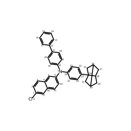 Clc1ccc2cc(N(c3ccc(-c4ccccc4)cc3)c3ccc(C45CC6CC4CC6C5)cc3)ccc2c1